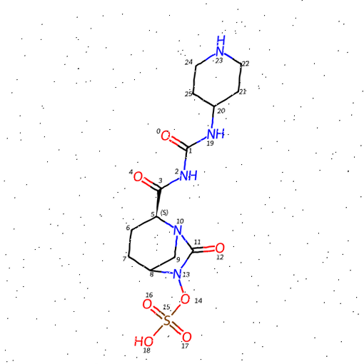 O=C(NC(=O)[C@@H]1CCC2CN1C(=O)N2OS(=O)(=O)O)NC1CCNCC1